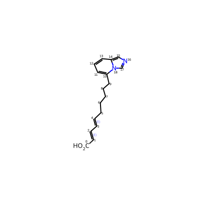 O=C(O)/C=C/C=C/CCCCCc1cccc2cncn12